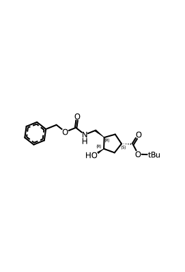 CC(C)(C)OC(=O)[C@H]1C[C@H](CNC(=O)OCc2ccccc2)[C@H](O)C1